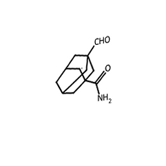 NC(=O)C12[CH]C3CC(CC(C=O)(C3)C1)C2